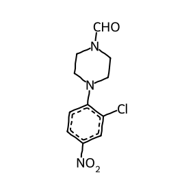 O=CN1CCN(c2ccc([N+](=O)[O-])cc2Cl)CC1